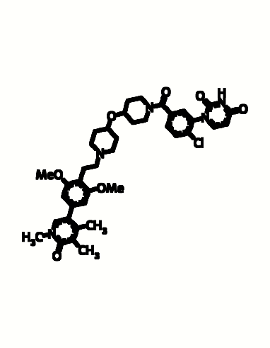 COc1cc(-c2cn(C)c(=O)c(C)c2C)cc(OC)c1CCN1CCC(OC2CCN(C(=O)c3ccc(Cl)c(-n4ccc(=O)[nH]c4=O)c3)CC2)CC1